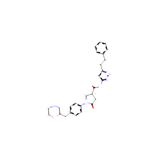 O=C(Nc1cc(CCc2ccccc2)[nH]n1)C1CC(=O)N(c2ccc(CC3CNCCO3)cc2)C1